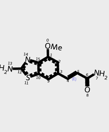 COc1cc(/C=C/C(N)=O)cc2sc(N)nc12